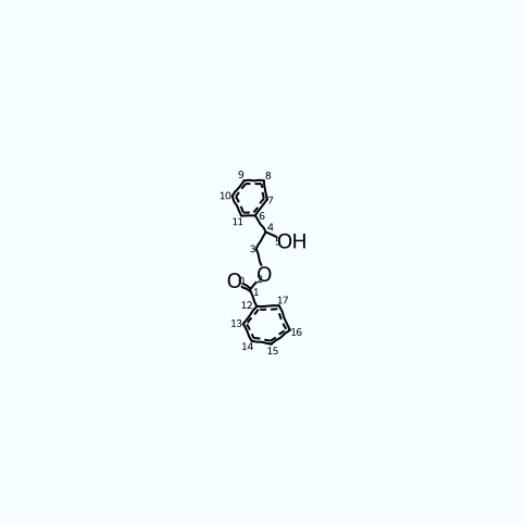 O=C(OCC(O)c1ccccc1)c1ccccc1